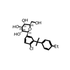 CCc1ccc(C(C)(C)c2cc([C@@H]3O[C@H](CO)[C@@H](O)[C@H](O)[C@H]3O)ccc2Cl)cc1